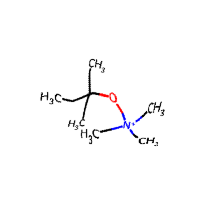 CC(C)(C)O[N+](C)(C)C